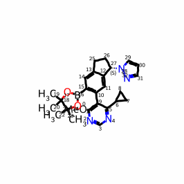 COc1ncnc(C2CC2)c1-c1cc2c(cc1B1OC(C)(C)C(C)(C)O1)CC[C@@H]2n1cccn1